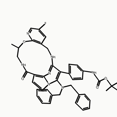 CC1CNC(=O)c2cnn3c(N(Cc4ccccc4)Cc4ccccc4)c(-c4ccc(NC(=O)OC(C)(C)C)cc4)c(nc23)NCc2cc(F)cnc2O1